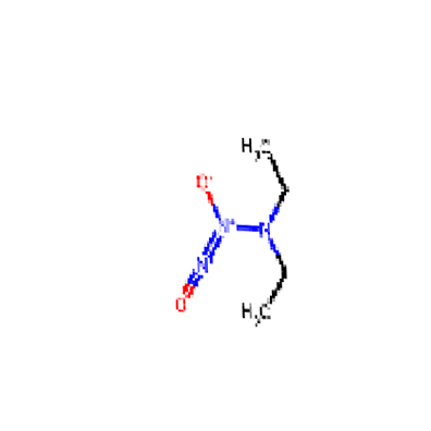 CCN(CC)[N+]([O-])=[N+]=O